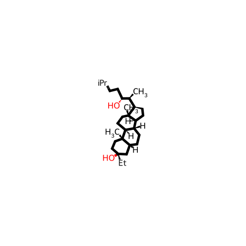 CC[C@@]1(O)CC[C@@]2(C)[C@H](CC[C@@H]3[C@@H]2CC[C@]2(C)[C@@H]([C@H](C)[C@H](O)CCC(C)C)CC[C@@H]32)C1